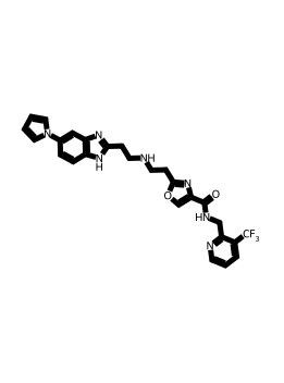 O=C(NCc1ncccc1C(F)(F)F)c1coc(CCNCCc2nc3cc(-n4cccc4)ccc3[nH]2)n1